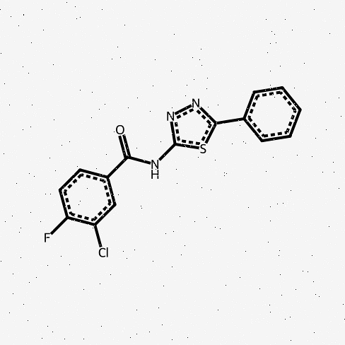 O=C(Nc1nnc(-c2ccccc2)s1)c1ccc(F)c(Cl)c1